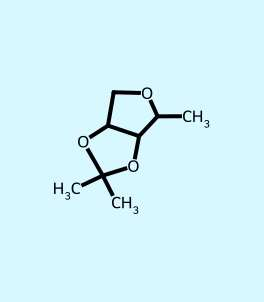 CC1OCC2OC(C)(C)OC12